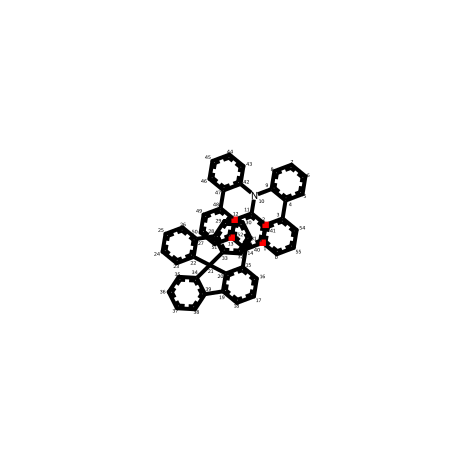 c1ccc(-c2ccccc2N(c2ccc(-c3cccc4c3C3(c5ccccc5-c5ccccc53)c3ccccc3-4)cc2)c2ccccc2-c2ccccc2)cc1